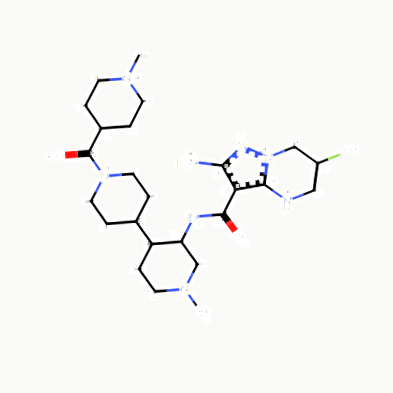 CCN1CCC(C2CCN(C(=O)C3CCN(C)CC3)CC2)C(NC(=O)c2c(N)nn3c2NCC(F)C3)C1